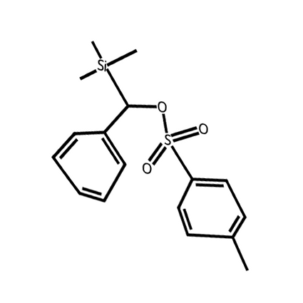 Cc1ccc(S(=O)(=O)OC(c2ccccc2)[Si](C)(C)C)cc1